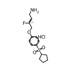 Cl.NC/C=C(\F)COc1ccc(S(=O)(=O)C2CCCC2)cc1